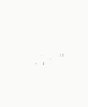 CCCc1ccc(S(=O)(=O)N2CCCC(C3(C(N)=O)CCCCC3)C2)cc1